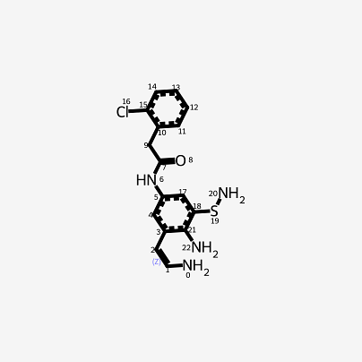 N/C=C\c1cc(NC(=O)Cc2ccccc2Cl)cc(SN)c1N